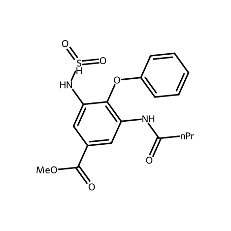 CCCC(=O)Nc1cc(C(=O)OC)cc(N[SH](=O)=O)c1Oc1ccccc1